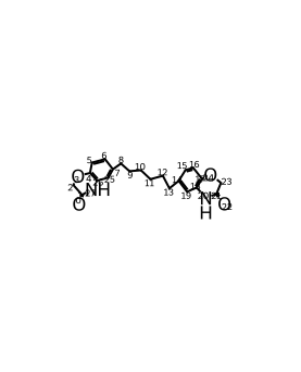 O=C1COc2ccc(CCCCCCc3ccc4c(c3)NC(=O)CO4)cc2N1